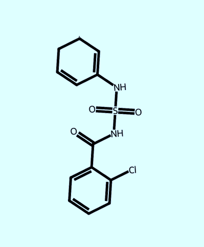 O=C(NS(=O)(=O)NC1=C[CH]CC=C1)c1ccccc1Cl